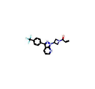 C=CC(=O)N1CC(n2nc(-c3ccc(C(F)(F)F)cc3)c3cccnc32)C1